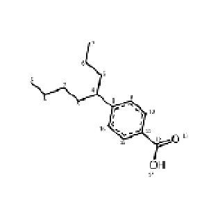 CCCCC(CCC)c1ccc(C(=O)O)cc1